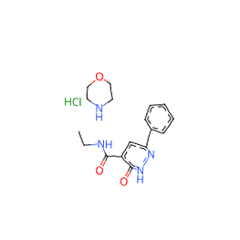 C1COCCN1.CCNC(=O)c1cc(-c2ccccc2)n[nH]c1=O.Cl